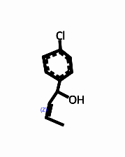 C/C=C\C(O)c1ccc(Cl)cc1